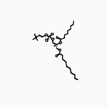 CCCCCCCCCC(=O)OC[C@H](COP(=O)([O-])OCC[N+](C)(C)C)OC(=S)CCCCCCCC